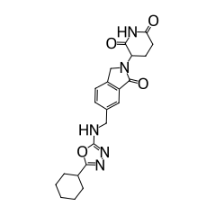 O=C1CCC(N2Cc3ccc(CNc4nnc(C5CCCCC5)o4)cc3C2=O)C(=O)N1